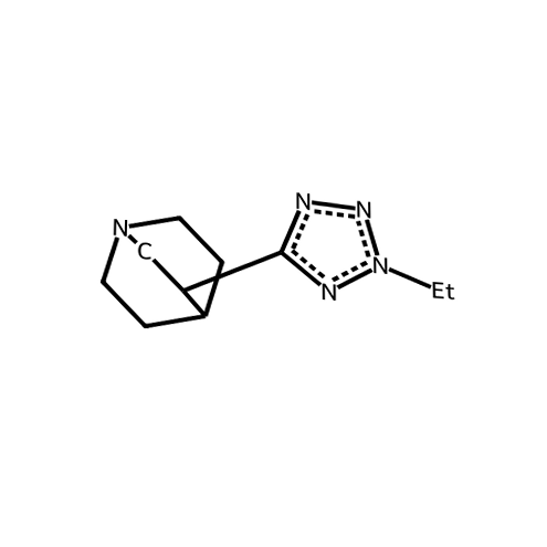 CCn1nnc(C2CN3CCC2CC3)n1